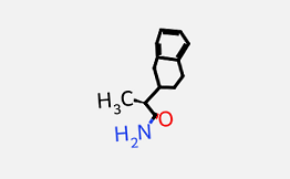 C[C@H](C(N)=O)C1CCc2ccccc2C1